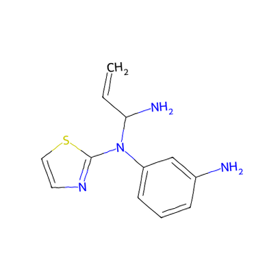 C=CC(N)N(c1cccc(N)c1)c1nccs1